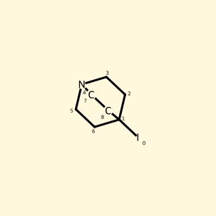 IC12CCN(CC1)CC2